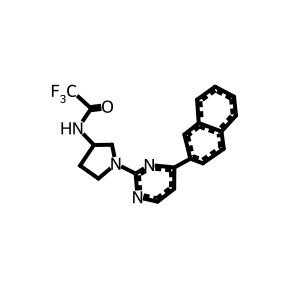 O=C(NC1CCN(c2nccc(-c3ccc4ccccc4c3)n2)C1)C(F)(F)F